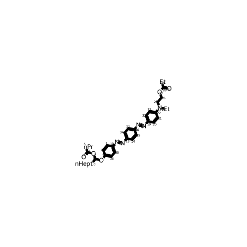 CCCCCCCC(OC(=O)CCC)Oc1ccc(N=Nc2ccc(N=Nc3ccc(N(CC)CCOC(=O)CC)cc3)cc2)cc1